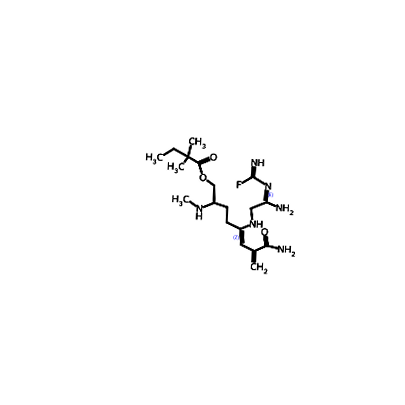 C=C(/C=C(/CCC(COC(=O)C(C)(C)CC)NC)NC/C(N)=N\C(=N)F)C(N)=O